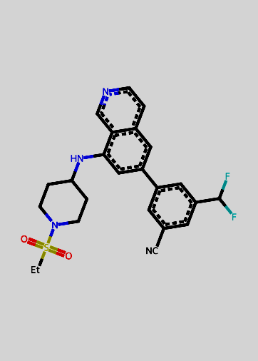 CCS(=O)(=O)N1CCC(Nc2cc(-c3cc(C#N)cc(C(F)F)c3)cc3ccncc23)CC1